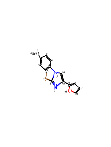 COc1ccc2c(c1)sc1nc(-c3ccco3)cn12